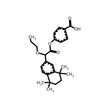 CCCOC(C(=O)Oc1ccc(C(=O)O)cc1)c1ccc2c(c1)C(C)(C)CCC2(C)C